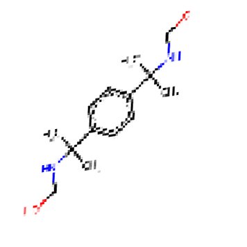 CC(C)(NCO)c1ccc(C(C)(C)NCO)cc1